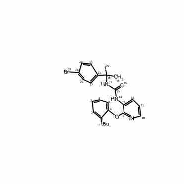 CC(C)(C)c1ccccc1Oc1ncccc1NC(=O)NC(C)(I)c1ccc(Br)cc1